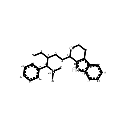 CCC(CCC1OCCc2c1[nH]c1ccccc21)C(c1ccccc1)N(C)C